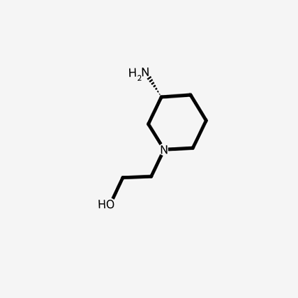 N[C@@H]1CCCN(CCO)C1